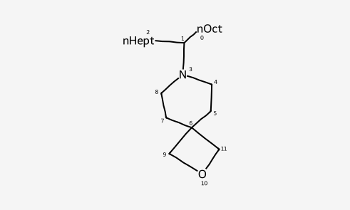 CCCCCCCCC(CCCCCCC)N1CCC2(CC1)COC2